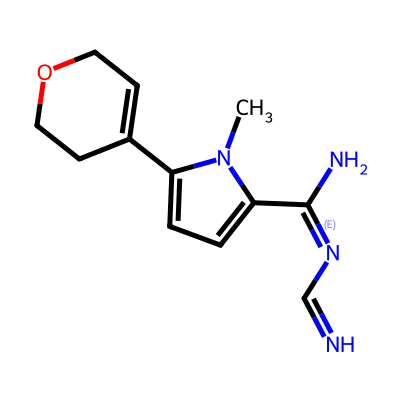 Cn1c(C2=CCOCC2)ccc1/C(N)=N\C=N